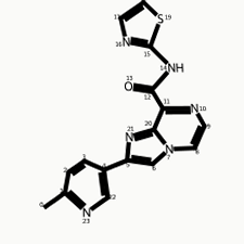 Cc1ccc(-c2cn3ccnc(C(=O)Nc4nccs4)c3n2)cn1